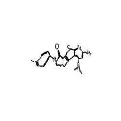 Cc1ccc(-n2cnc3c(sc4nc(C(C)C)cc(N(C)C)c43)c2=O)cc1